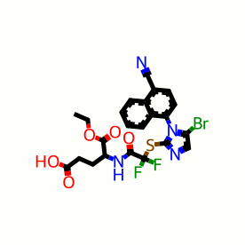 CCOC(=O)C(CCC(=O)O)NC(=O)C(F)(F)Sc1ncc(Br)n1-c1ccc(C#N)c2ccccc12